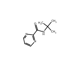 CC(C)(C)NC(=O)c1ncccn1